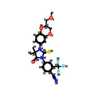 COC[C@H]1COc2cc(N3C(=S)N(c4ccc(C#N)c(C(F)(F)F)c4)C(=O)C3(C)C)ccc2O1